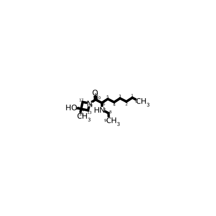 CCCCCCC(NCC)C(=O)N1CC(C)(O)C1